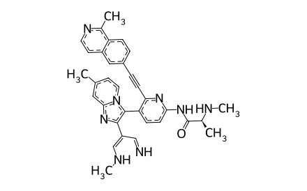 CN/C=C(\C=N)c1nc2cc(C)ccn2c1-c1ccc(NC(=O)[C@H](C)NC)nc1C#Cc1ccc2c(C)nccc2c1